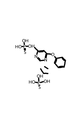 CC.CCC.Cc1cc(Oc2ccccc2)ncn1.OP(O)(O)=S.OP(O)(O)=S